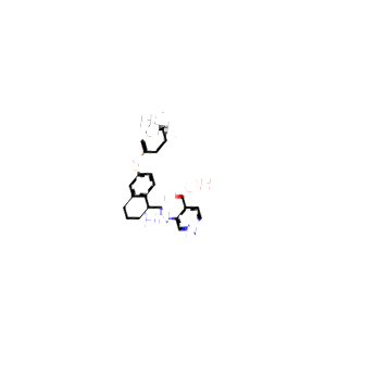 C#C/C=C\C(=C/C)Sc1ccc2c(c1)CCCC2CNc1cnccc1C(=O)O